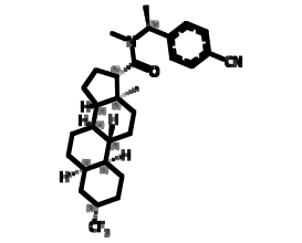 C[C@@H](c1ccc(C#N)cc1)N(C)C(=O)[C@H]1CC[C@H]2[C@@H]3CC[C@@H]4C[C@@H](C(F)(F)F)CC[C@@H]4[C@H]3CC[C@]12C